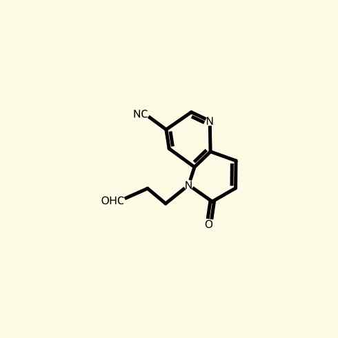 N#Cc1cnc2ccc(=O)n(CCC=O)c2c1